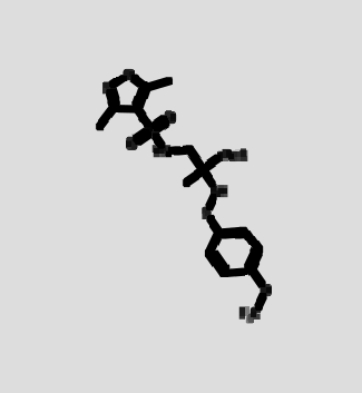 CCCCCC(C)(CNS(=O)(=O)c1c(C)noc1C)NSc1ccc(OC(F)(F)F)cc1